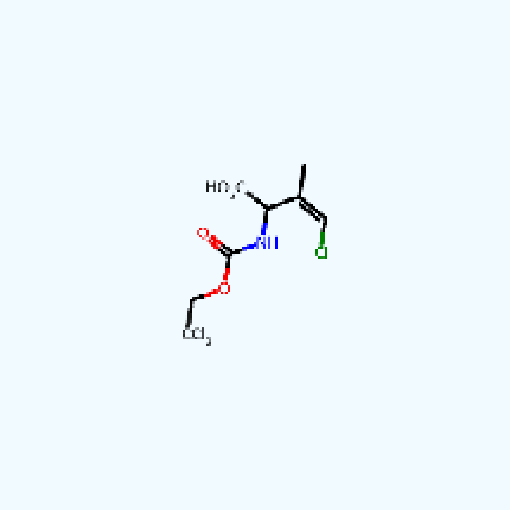 C/C(=C/Cl)C(NC(=O)OCC(Cl)(Cl)Cl)C(=O)O